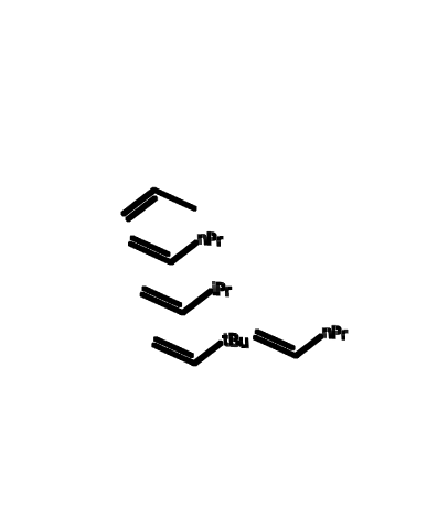 C=CC.C=CC(C)(C)C.C=CC(C)C.C=CCCC.C=CCCC